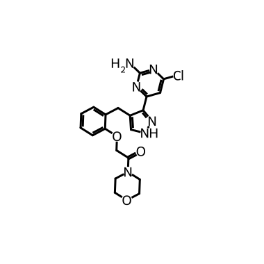 Nc1nc(Cl)cc(-c2n[nH]cc2Cc2ccccc2OCC(=O)N2CCOCC2)n1